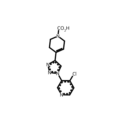 O=C(O)N1CC=C(c2cn(-c3cnccc3Cl)nn2)CC1